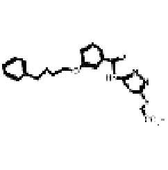 O=C(O)CSc1nnc(NC(=O)c2cccc(OCCCCc3ccccc3)c2)s1